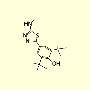 CNc1nnc(-c2cc(C(C)(C)C)c(O)c(C(C)(C)C)c2)s1